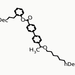 CCCCCCCCCCCCCCCCOC(C)c1ccc(-c2ccc(C(=O)Oc3ccccc3CCCCCCCCCCCC)cc2)cc1